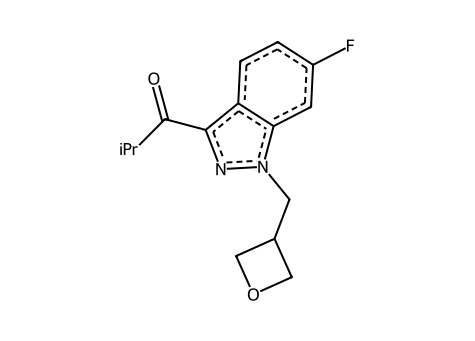 CC(C)C(=O)c1nn(CC2COC2)c2cc(F)ccc12